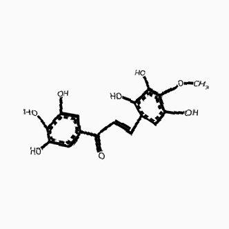 COc1c(O)cc(C=CC(=O)c2cc(O)c(O)c(O)c2)c(O)c1O